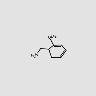 COC1=CC=CCC1CN